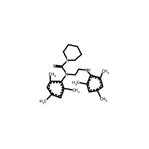 Cc1cc(C)c(NCCN(C(=S)N2CCCCC2)c2c(C)cc(C)cc2C)c(C)c1